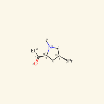 CCC(=O)[C@@H]1C[C@H](C(C)C)CN1C